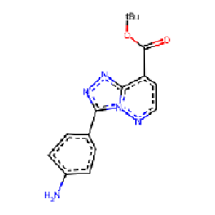 CC(C)(C)OC(=O)c1ccnn2c(-c3ccc(N)cc3)nnc12